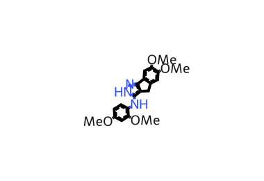 COc1ccc(Nc2[nH]nc3c2Cc2cc(OC)c(OC)cc2-3)c(OC)c1